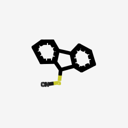 O=NSC1c2ccccc2-c2ccccc21